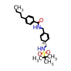 CCCCc1ccc(C(=O)NCC2=CC[C@@H](CNS(=O)(=O)C(C)(C)C)C=C2)cc1